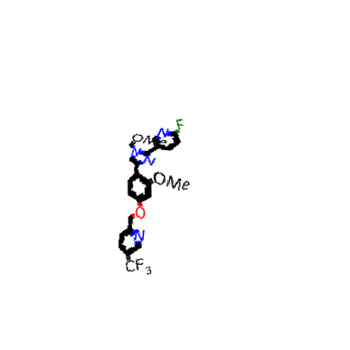 COCn1cc(-c2ccc(OCc3ccc(C(F)(F)F)cn3)cc2OC)nc1-c1ccc(F)nc1